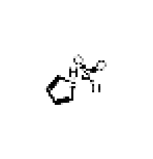 [O]S(=O)(=O)[SH]1C=CC=C1